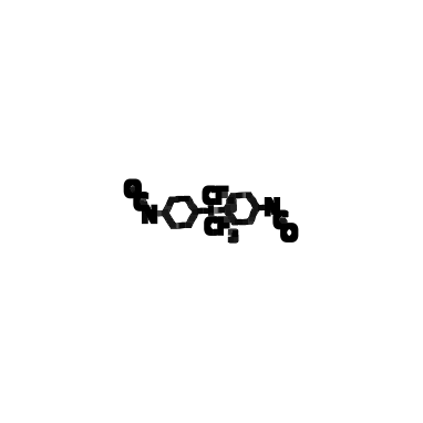 O=C=NC1CCC(C(C2CCC(N=C=O)CC2)(C(F)(F)F)C(F)(F)F)CC1